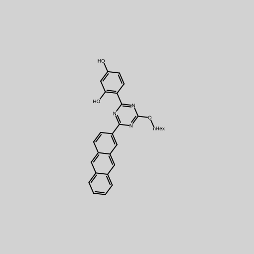 CCCCCCOc1nc(-c2ccc3cc4ccccc4cc3c2)nc(-c2ccc(O)cc2O)n1